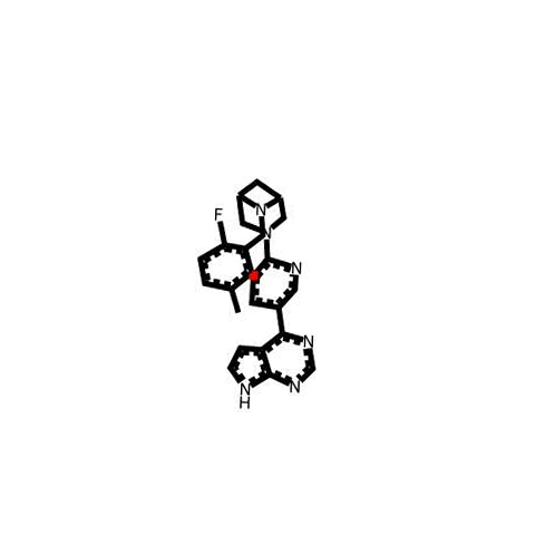 Cc1ccc(F)c(CN2C3CC2CN(c2ccc(-c4ncnc5[nH]ccc45)cn2)C3)c1